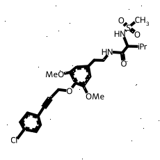 COc1cc(CCNC(=O)C(NS(C)(=O)=O)C(C)C)cc(OC)c1OCC#Cc1ccc(Cl)cc1